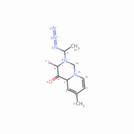 CC1=CC2C(=O)C(I)N(C(C)N=[N+]=[N-])CN2C=C1